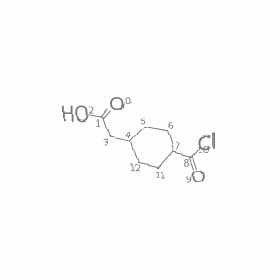 O=C(O)CC1CCC(C(=O)Cl)CC1